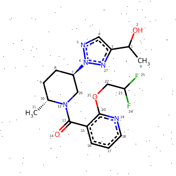 CC(O)c1cnn([C@@H]2CC[C@@H](C)N(C(=O)c3cccnc3OCC(F)F)C2)n1